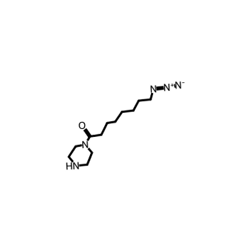 [N-]=[N+]=NCCCCCCCC(=O)N1CCNCC1